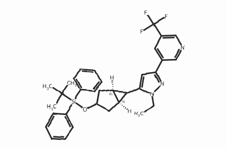 CCn1nc(-c2cncc(C(F)(F)F)c2)cc1C1[C@H]2CC(O[Si](c3ccccc3)(c3ccccc3)C(C)(C)C)C[C@@H]12